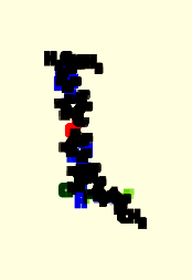 C=C/C(F)=C\C=C(\F)C[C@H]1CN(c2ncc(OCC3CCN(c4nnn(C(C)C)n4)CC3)cn2)C[C@@H]1NCl